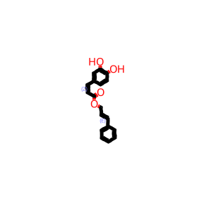 O=C(/C=C\c1ccc(O)c(O)c1)OC/C=C/c1ccccc1